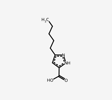 CCCCCc1cc(C(=O)O)[nH]n1